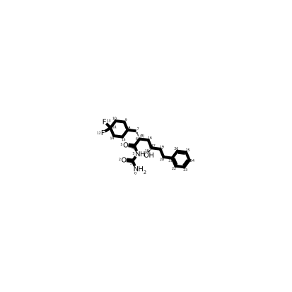 NC(=O)NC(=O)[C@H](CC1CCC(F)(F)CC1)C[C@@H](O)[CH]Cc1ccccc1